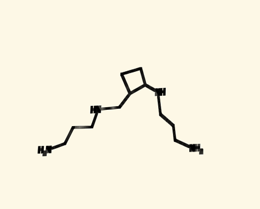 NCCCNCC1CCC1NCCCN